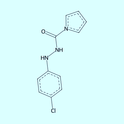 O=C(NNc1ccc(Cl)cc1)n1cccc1